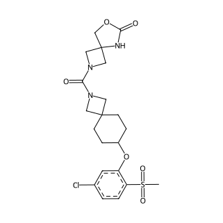 CS(=O)(=O)c1ccc(Cl)cc1OC1CCC2(CC1)CN(C(=O)N1CC3(COC(=O)N3)C1)C2